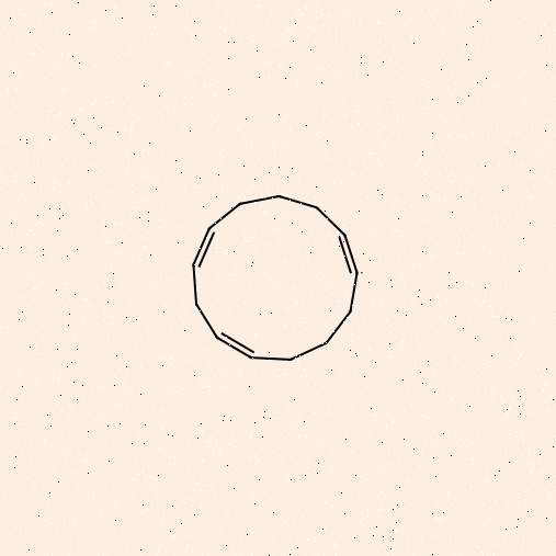 [C]1=CCCCC=CCC=CCCC1